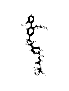 COCc1cc(-c2nc(-c3ccc(NCCC(=O)OC(C)(C)C)nc3)no2)ccc1-c1ccccc1C